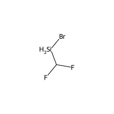 FC(F)[SiH2]Br